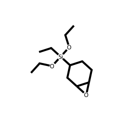 CCO[Si](CC)(OCC)C1CCC2OC2C1